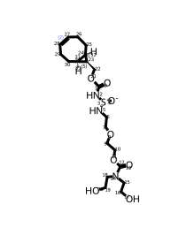 O=C(N[S+]([O-])NCCOCCOC(=O)N(CCO)CCO)OC[C@@H]1[C@@H]2CC/C=C\CC[C@@H]21